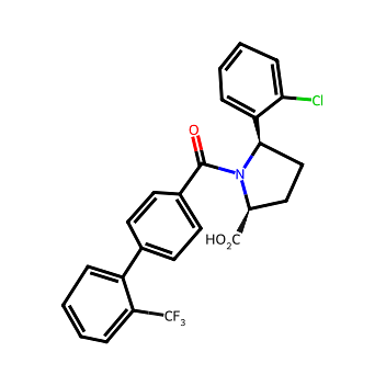 O=C(O)[C@@H]1CC[C@H](c2ccccc2Cl)N1C(=O)c1ccc(-c2ccccc2C(F)(F)F)cc1